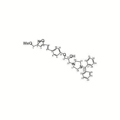 COCc1cc(/C=C/c2ccc(OCC(O)CN3CCN(C(c4ccccc4)c4ccccc4)CC3)cc2)on1